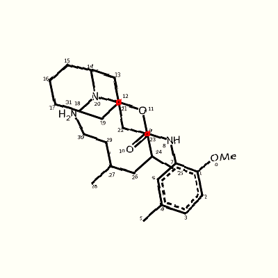 COc1ccc(C)cc1NC(=O)OC1CC2CCCC(C1)N2CCCC(C)CC(C)CCN